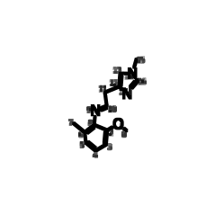 COc1cccc(C)c1N=CCc1cn(C)cn1